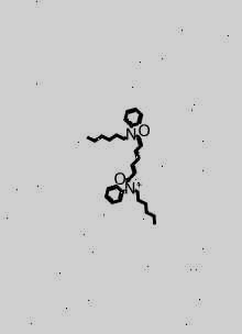 CCCCCCN1C(=CC=CC=Cc2oc3ccccc3[n+]2CCCCCC)Oc2ccccc21